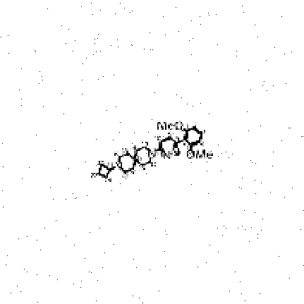 COc1cccc(OC)c1-c1ccc(N2CCC3(CC2)CCN(C2CCC2)CC3)nn1